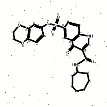 O=C(NC1CCCCCC1)c1c[nH]c2ccc(S(=O)(=O)Nc3ccc4c(c3)OCCO4)cc2c1=O